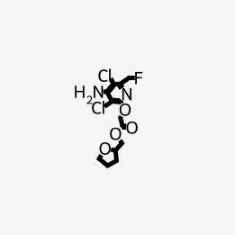 Nc1c(Cl)c(CF)nc(OCC(=O)OCC2CCCO2)c1Cl